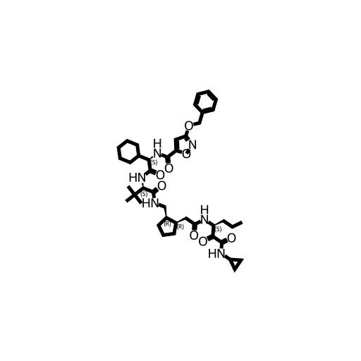 CCC[C@H](NC(=O)C[C@H]1CCC[C@H]1CNC(=O)[C@@H](NC(=O)[C@@H](NC(=O)c1cc(OCc2ccccc2)no1)C1CCCCC1)C(C)(C)C)C(=O)C(=O)NC1CC1